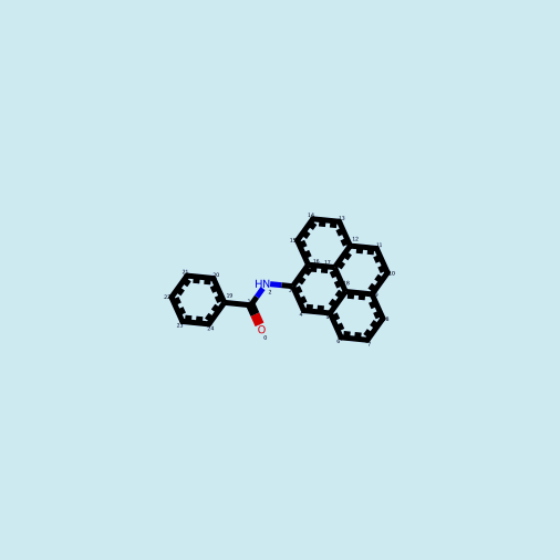 O=C(Nc1cc2cccc3ccc4cccc1c4c32)c1ccccc1